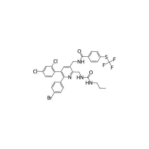 CCCNC(=O)NCc1nc(-c2ccc(Br)cc2)c(-c2ccc(Cl)cc2Cl)cc1CNC(=O)c1ccc(SC(F)(F)F)cc1